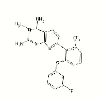 CN1C(N)=Nc2nc(-c3c(Oc4cccc(F)c4)cccc3C(F)(F)F)ccc2C1N